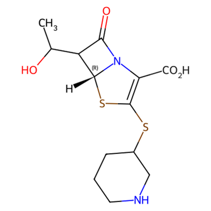 CC(O)C1C(=O)N2C(C(=O)O)=C(SC3CCCNC3)S[C@H]12